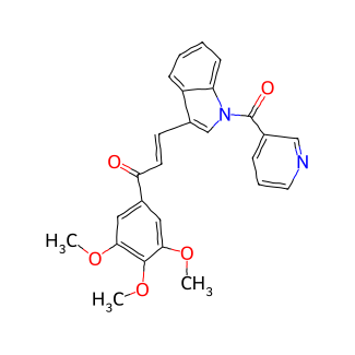 COc1cc(C(=O)C=Cc2cn(C(=O)c3cccnc3)c3ccccc23)cc(OC)c1OC